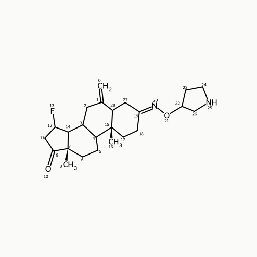 C=C1CC2C(CC[C@]3(C)C(=O)CC(F)C23)[C@@]2(C)CCC(=NOC3CCNC3)CC12